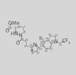 COC(=O)[C@@H]1CCCN(C(=O)CCc2nc(-c3ccc4c(c3F)CCN4CC(F)(F)F)cs2)N1